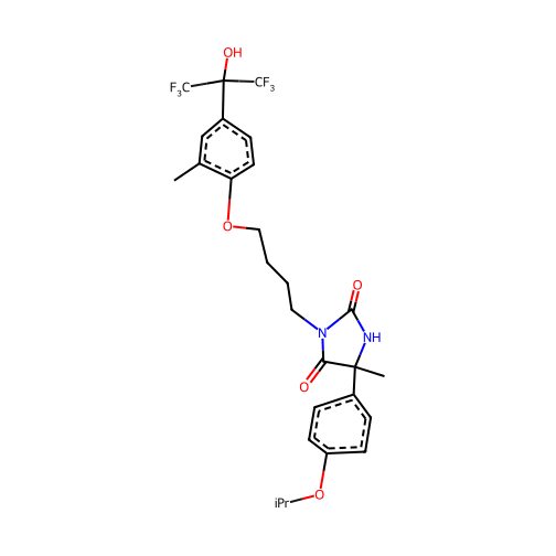 Cc1cc(C(O)(C(F)(F)F)C(F)(F)F)ccc1OCCCCN1C(=O)NC(C)(c2ccc(OC(C)C)cc2)C1=O